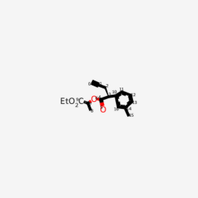 C#CC[C@H](C(=O)OC(C)C(=O)OCC)c1cccc(C)c1